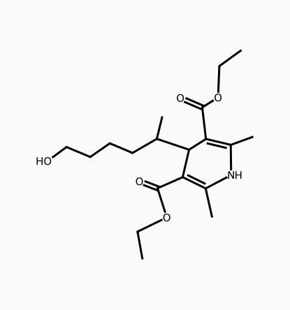 CCOC(=O)C1=C(C)NC(C)=C(C(=O)OCC)C1C(C)CCCCO